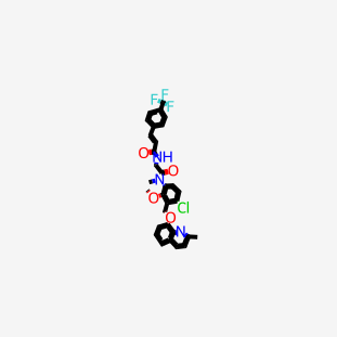 COc1c(N(C)C(=O)CNC(=O)/C=C/c2ccc(C(F)(F)F)cc2)ccc(Cl)c1COc1cccc2ccc(C)nc12